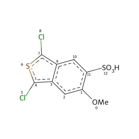 COc1cc2c(Cl)sc(Cl)c2cc1S(=O)(=O)O